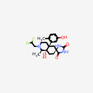 Cc1ccc(O)cc1[C@]12CCN(CC(F)F)[C@H](C)[C@]1(O)CC[C@@]1(C2)NC(=O)NC1=O